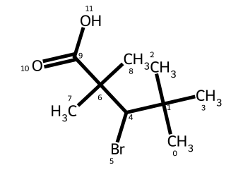 CC(C)(C)C(Br)C(C)(C)C(=O)O